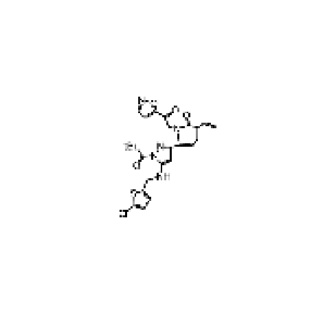 C=Cc1ccc(-c2cc(NCc3ccc(Cl)s3)n(C(=O)C(C)(C)C)n2)n(CC(=O)c2ccno2)c1=O